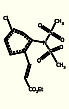 CCOC(=O)/C=C/c1ccc(Cl)cc1N(S(C)(=O)=O)S(C)(=O)=O